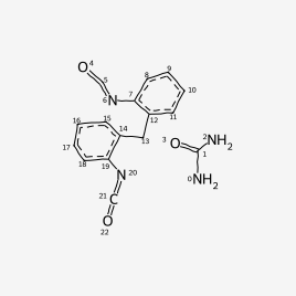 NC(N)=O.O=C=Nc1ccccc1Cc1ccccc1N=C=O